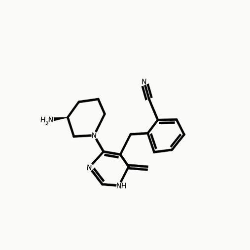 C=C1NC=NC(N2CCC[C@H](N)C2)=C1Cc1ccccc1C#N